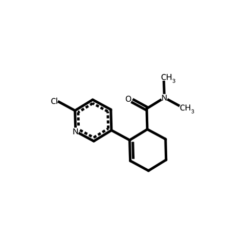 CN(C)C(=O)C1CCCC=C1c1ccc(Cl)nc1